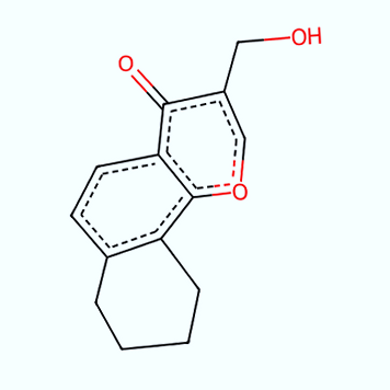 O=c1c(CO)coc2c3c(ccc12)CCCC3